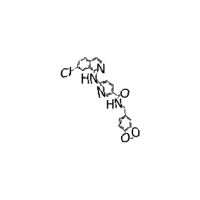 O=C(NCc1ccc2c(c1)OCO2)c1ccc(Nc2nccc3ccc(Cl)cc23)nc1